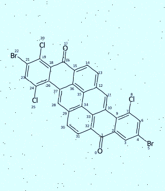 O=c1c2cc(Br)cc(Cl)c2c2cc3ccc4c(=O)c5c(Cl)c(Br)cc(Cl)c5c5cc6ccc1c2c6c3c45